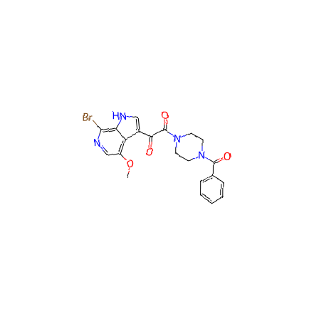 COc1cnc(Br)c2[nH]cc(C(=O)C(=O)N3CCN(C(=O)c4ccccc4)CC3)c12